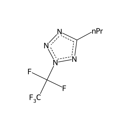 CCCc1nnn(C(F)(F)C(F)(F)F)n1